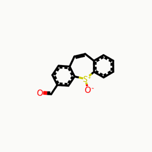 O=Cc1ccc2c(c1)[S+]([O-])c1ccccc1C=C2